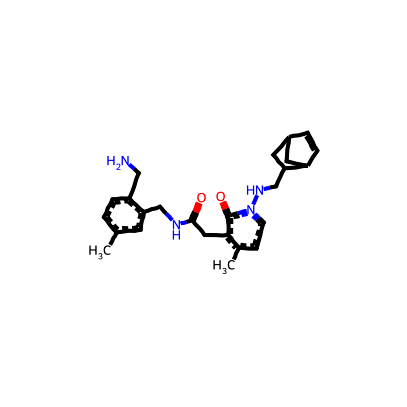 Cc1ccc(CN)c(CNC(=O)Cc2c(C)ccn(NCC3CC4C=CC3C4)c2=O)c1